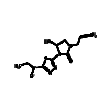 C=CCN1CC(O)N(c2nnc([S+]([O-])CC)s2)C1=O